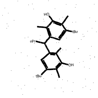 CCCC(c1cc(C(C)(C)C)c(C)c(O)c1C)c1cc(C(C)(C)C)c(C)c(O)c1C